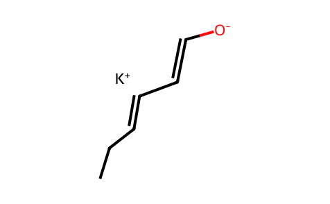 CCC=CC=C[O-].[K+]